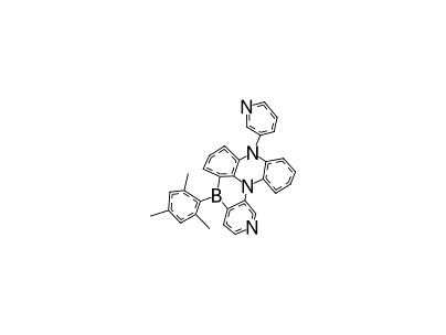 Cc1cc(C)c(B2c3ccncc3N3c4ccccc4N(c4cccnc4)c4cccc2c43)c(C)c1